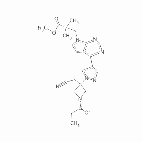 CC[S+]([O-])N1CC(CC#N)(n2cc(-c3ncnc4c3ccn4CC(C)(C)C(=O)OC)cn2)C1